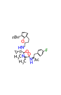 CCCCc1cccc2c1OC(CN[C@H](C(=O)N(C)[C@H](C)C(=O)N[C@H](Cc1ccc(F)cc1)C(C)=O)C1CC1)CC2